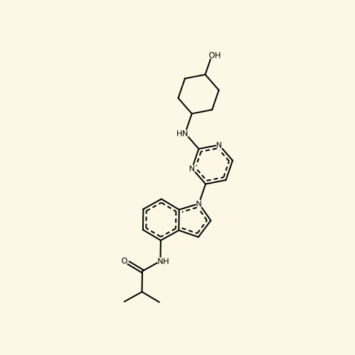 CC(C)C(=O)Nc1cccc2c1ccn2-c1ccnc(NC2CCC(O)CC2)n1